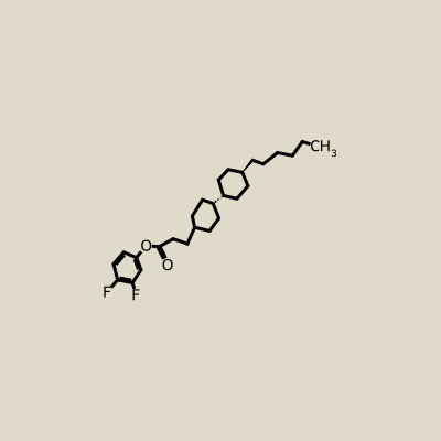 CCCCCC[C@H]1CC[C@H](C2CCC(CCC(=O)Oc3ccc(F)c(F)c3)CC2)CC1